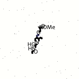 C=CC(=O)NC[C@H](O)CN1CCC(/C=C/OCC2CN2OOC)=C(C=C)C1